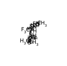 CN1CC[C@@H](Nc2cccc3c(CC(F)(F)F)c(C#CCNc4ccc(P(C)(C)=O)cc4OCF)sc23)[C@@H](F)C1